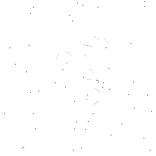 COc1cccc(-c2nc(NN)sc2CNS(=O)(=O)c2ccc(C)cc2)c1